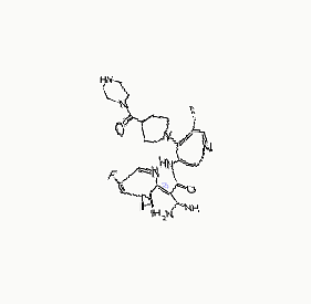 N=C(N)/C(C(=O)Nc1cncc(F)c1N1CCC(C(=O)N2CCNCC2)CC1)=C1/N=CC(F)=CN1